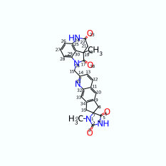 CN1C(=O)NC(=O)C12Cc1cc3ccc(CN4C(=O)C5(C)CC(=O)Nc6cccc4c65)nc3cc1C2